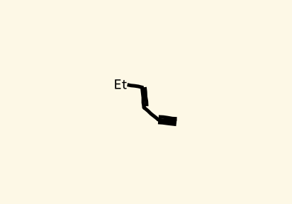 C#CC=CCC